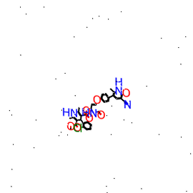 COC(=O)C1=C(C)NC(C)=C(C(=O)OC(C=COc2ccc(-c3cc(C#N)c(=O)[nH]c3C)cc2)NC=O)C1c1ccccc1Cl